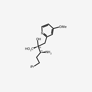 COc1ccnc(C[C@](O)(C(=O)O)[C@@H](N)CCC(C)C)c1